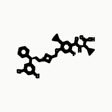 O=C(N[C@H](C(=O)O)C1CC1)c1cc(C2CC2)c(OCC2CN(CC[C@@H](c3ccccc3)c3cc(Cl)cc(Cl)c3)C2)cc1F